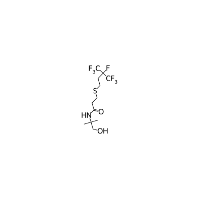 CC(C)(CO)NC(=O)CCSCCC(F)(C(F)(F)F)C(F)(F)F